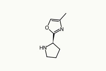 Cc1coc([C@H]2CCCN2)n1